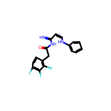 N=C(/C=C\Nc1ccccc1)NC(=O)Cc1ccc(F)c(F)c1F